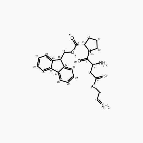 C=CCOC(=O)C[C@H](N)C(=O)N1CCC[C@H]1C(=O)OCC1c2ccccc2-c2ccccc21